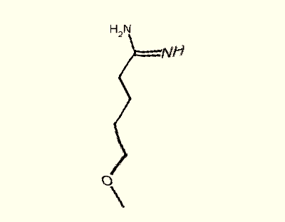 COCCCCC(=N)N